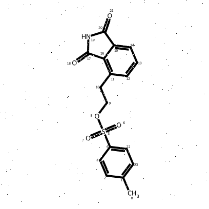 Cc1ccc(S(=O)(=O)OCCc2cccc3c2C(=O)NC3=O)cc1